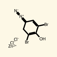 [Cl-].[Cl-].[N-]=[N+]=C1C=C(Br)C(O)=C(Br)C1.[Zn+2]